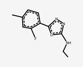 CCNc1nnc(-c2ccc(C)cc2F)o1